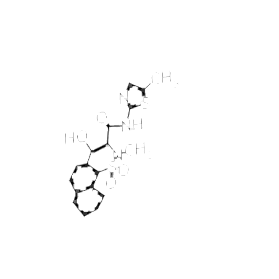 Cc1cnc(NC(=O)C2=C(O)c3ccc4ccccc4c3S(=O)(=O)N2C)s1